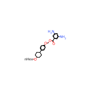 CCCCCCOC1CCC(c2ccc(OCOC(=O)c3cc(N)cc(N)c3)cc2)CC1